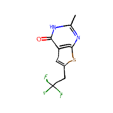 Cc1nc2sc(CC(F)(F)F)cc2c(=O)[nH]1